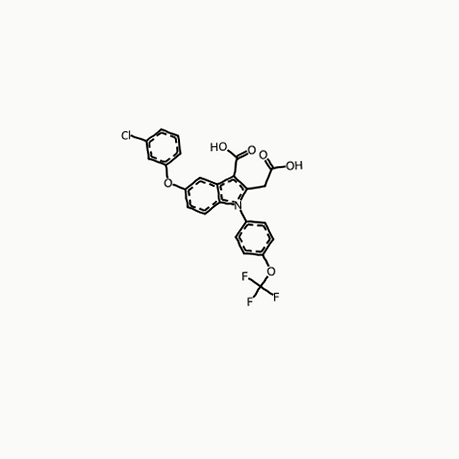 O=C(O)Cc1c(C(=O)O)c2cc(Oc3cccc(Cl)c3)ccc2n1-c1ccc(OC(F)(F)F)cc1